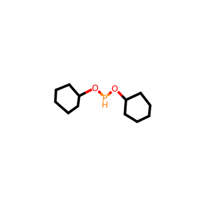 C1CCC(OPOC2CCCCC2)CC1